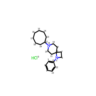 Cl.c1ccc(N2CCC23CCN(C2CCCCCCC2)CC3)cc1